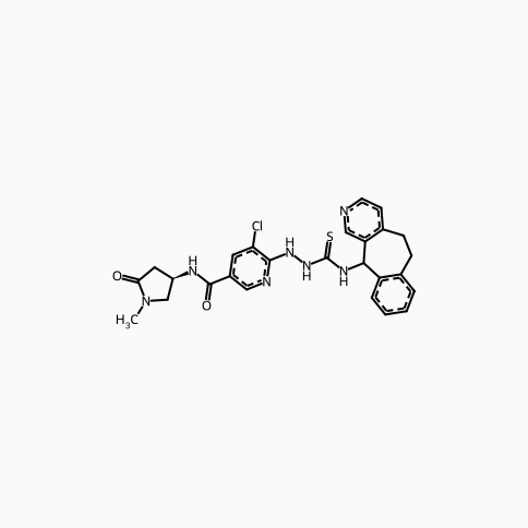 CN1C[C@H](NC(=O)c2cnc(NNC(=S)NC3c4ccccc4CCc4ccncc43)c(Cl)c2)CC1=O